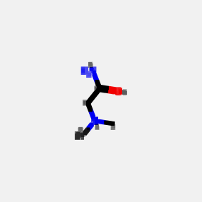 CC(C)N(C)CC(N)=O